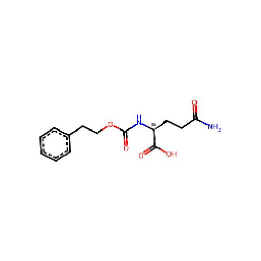 NC(=O)CC[C@H](NC(=O)OCCc1ccccc1)C(=O)O